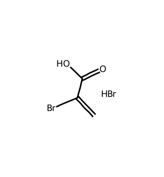 Br.C=C(Br)C(=O)O